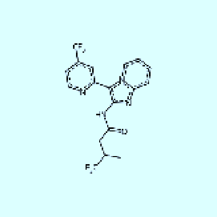 CC(CC(=O)Nc1nc2ccccn2c1-c1cc(C(F)(F)F)ccn1)C(F)(F)F